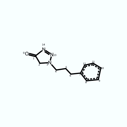 O=C1CN(CCCc2ccccc2)N=N1